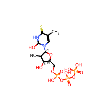 CC1=CN([C@H]2O[C@@H](COP(=O)(O)OP(=O)(O)OP(=O)(O)O)[C@@H](O)C2C#N)C(O)NC1=S